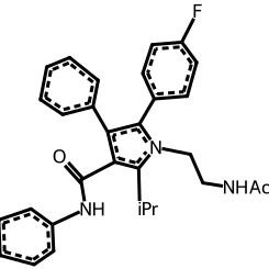 CC(=O)NCCn1c(-c2ccc(F)cc2)c(-c2ccccc2)c(C(=O)Nc2ccccc2)c1C(C)C